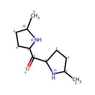 CC1CCC(C(=O)C2CCC(C)N2)N1